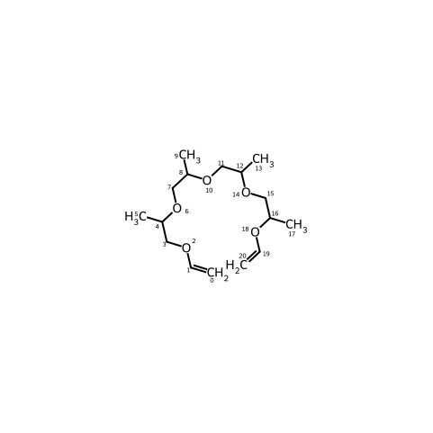 C=COCC(C)OCC(C)OCC(C)OCC(C)OC=C